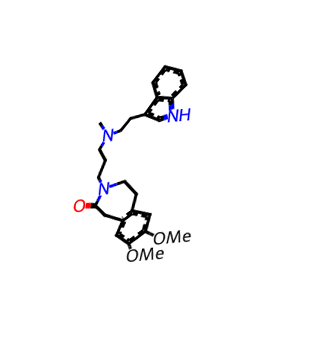 COc1cc2c(cc1OC)CC(=O)N(CCCN(C)CCc1c[nH]c3ccccc13)CC2